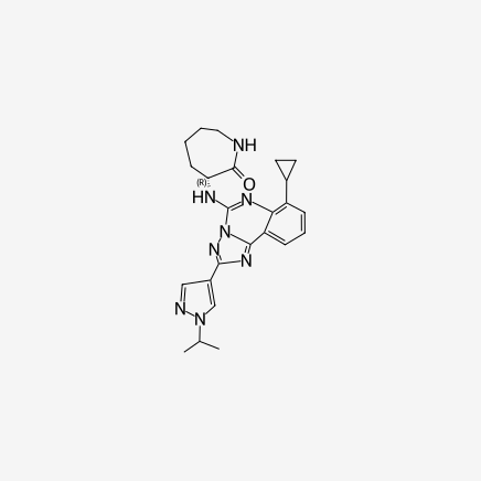 CC(C)n1cc(-c2nc3c4cccc(C5CC5)c4nc(N[C@@H]4CCCCNC4=O)n3n2)cn1